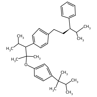 CC(C)C(c1ccc(CC[C@@H](c2ccccc2)C(C)C)cc1)C(C)(C)Oc1ccc(C(C)(C)C(C)C)cc1